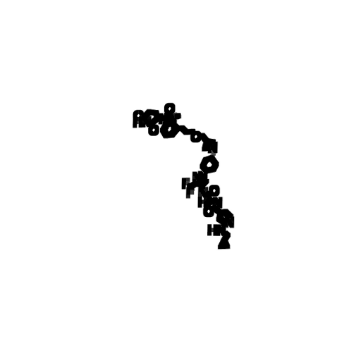 Cn1c(=O)n(C2CCC(=O)NC2=O)c2cccc(CCCOCC3CN(C[C@H]4CC[C@H](n5cc(NC(=O)c6coc(-c7ccnc(NCC8CC8)c7)n6)c(C(F)F)n5)CC4)C3)c21